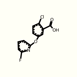 O=C(O)c1cc(Oc2cccc(F)n2)ccc1Cl